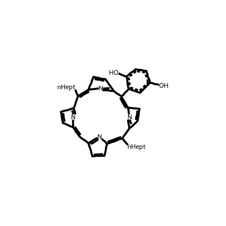 CCCCCCCC1=C2C=CC(=N2)C=C2C=CC(=N2)C(CCCCCCC)=C2C=CC(=N2)C(c2cc(O)ccc2O)=C2C=CC1=N2